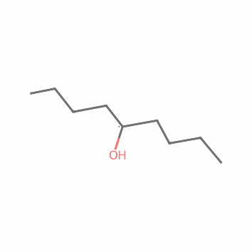 CCCC[C](O)CCCC